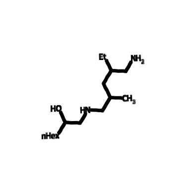 CCCCCCC(O)CNCC(C)CC(CC)CN